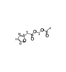 CC(=O)OCOC(=O)Cc1ccco1